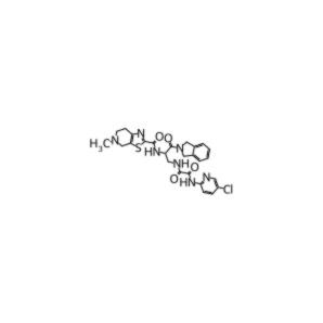 CN1CCc2nc(C(=O)NC(CNC(=O)C(=O)Nc3ccc(Cl)cn3)C(=O)N3Cc4ccccc4C3)sc2C1